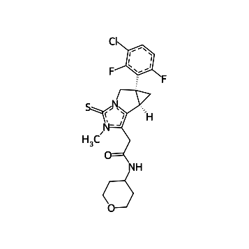 Cn1c(CC(=O)NC2CCOCC2)c2n(c1=S)C[C@@]1(c3c(F)ccc(Cl)c3F)C[C@@H]21